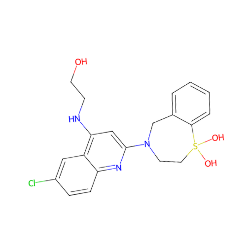 OCCNc1cc(N2CCS(O)(O)c3ccccc3C2)nc2ccc(Cl)cc12